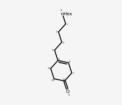 CCCCCCCCCCC1=CCC(=O)CC1